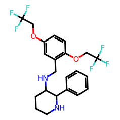 FC(F)(F)COc1ccc(OCC(F)(F)F)c(CNC2CCCNC2c2ccccc2)c1